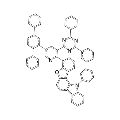 c1ccc(-c2ccc(-c3ccccc3)c(-c3cnc(-c4cccc5c4oc4ccc6c7ccccc7n(-c7ccccc7)c6c45)c(-c4nc(-c5ccccc5)nc(-c5ccccc5)n4)c3)c2)cc1